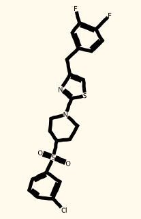 O=S(=O)(c1cccc(Cl)c1)C1CCN(c2nc(Cc3ccc(F)c(F)c3)cs2)CC1